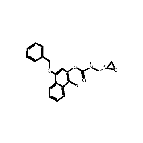 O=C(NC[C@@H]1CO1)Oc1cc(OCc2ccccc2)c2ccccc2c1I